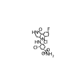 NS(=O)(=O)c1cc(Cl)c(Nc2nc3ccc(F)cc3c3c(=O)[nH]ccc23)c(Cl)c1